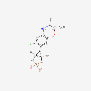 CCC(Nc1ccc(C2[C@H]3CS(O)(O)C[C@@H]23)c(F)c1)[C@@H](O)C(=O)O